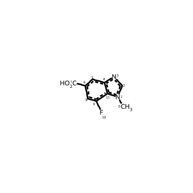 Cn1cnc2cc(C(=O)O)cc(F)c21